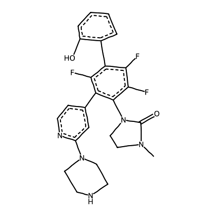 CN1CCN(c2c(F)c(F)c(-c3ccccc3O)c(F)c2-c2ccnc(N3CCNCC3)c2)C1=O